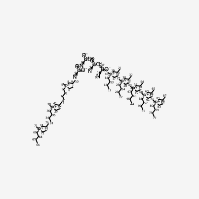 CCCC[P+](C)(CC)CCC.CCCC[P+](C)(CC)CCC.CCCC[P+](C)(CC)CCC.CCCC[P+](C)(CC)CCC.CCCC[P+](C)(CC)CCC.CCCC[P+](C)(CC)CCC.CCCC[P+](C)(CC)CCC.CCCC[P+](C)(CC)CCC.N#CB([O-])[O-].N#CB([O-])[O-].N#CB([O-])[O-].N#CB([O-])[O-]